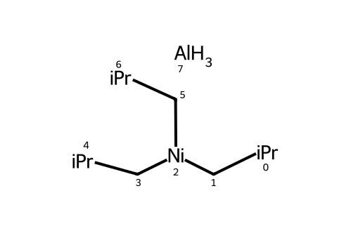 CC(C)[CH2][Ni]([CH2]C(C)C)[CH2]C(C)C.[AlH3]